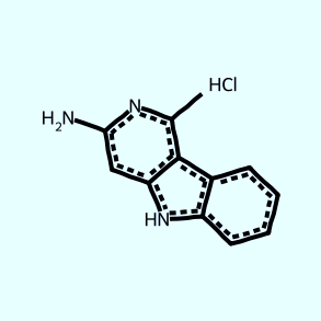 Cc1nc(N)cc2[nH]c3ccccc3c12.Cl